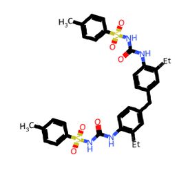 CCc1cc(Cc2ccc(NC(=O)NS(=O)(=O)c3ccc(C)cc3)c(CC)c2)ccc1NC(=O)NS(=O)(=O)c1ccc(C)cc1